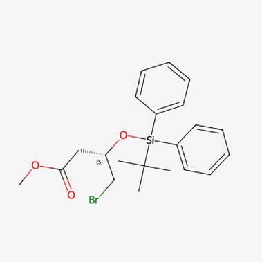 COC(=O)C[C@@H](CBr)O[Si](c1ccccc1)(c1ccccc1)C(C)(C)C